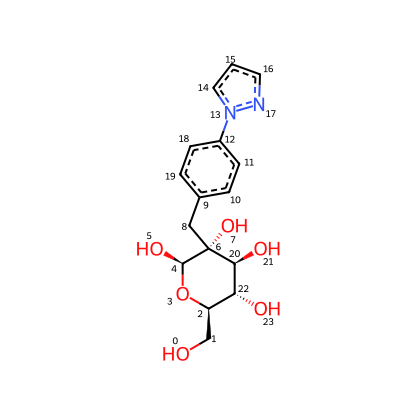 OC[C@H]1O[C@@H](O)[C@@](O)(Cc2ccc(-n3cccn3)cc2)[C@@H](O)[C@@H]1O